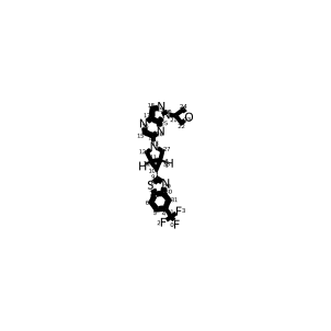 FC(F)(F)c1ccc2sc([C@@H]3[C@@H]4CN(c5cnc6cnn(C7COC7)c6n5)C[C@@H]43)nc2c1